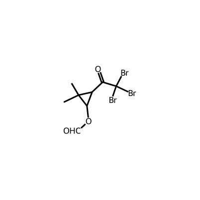 CC1(C)C(OC=O)C1C(=O)C(Br)(Br)Br